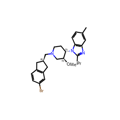 CO[C@H]1CN(C[C@@H]2Cc3ccc(Br)cc3C2)CC[C@@H]1n1c(C(C)C)nc2cc(C)ccc21